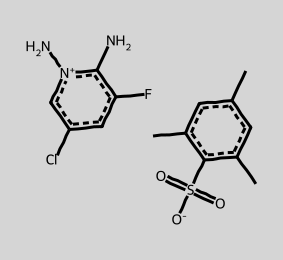 Cc1cc(C)c(S(=O)(=O)[O-])c(C)c1.Nc1c(F)cc(Cl)c[n+]1N